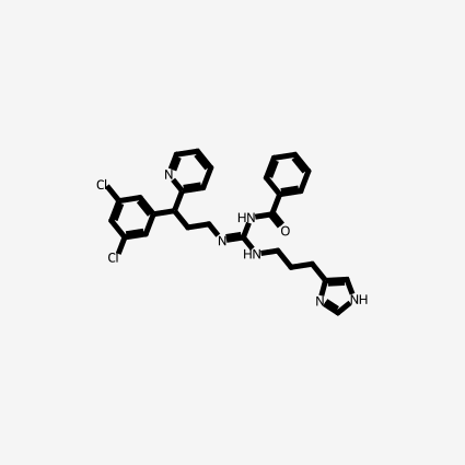 O=C(NC(=NCCC(c1cc(Cl)cc(Cl)c1)c1ccccn1)NCCCc1c[nH]cn1)c1ccccc1